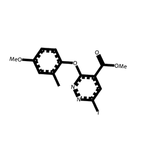 COC(=O)c1cc(I)nnc1Oc1ccc(OC)cc1C